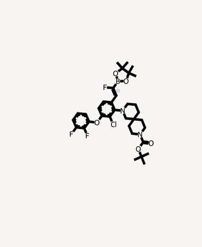 CC(C)(C)OC(=O)N1CCC2(CCCN(c3c(/C=C(\F)B4OC(C)(C)C(C)(C)O4)ccc(Oc4cccc(F)c4F)c3Cl)C2)CC1